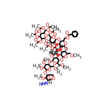 COCC1O[C@@H](O[C@H]2C3CO[C@H](O3)[C@@H](N=[N+]=[N-])C2OC)C(OC)C(OC)[C@@H]1O[C@H]1OC(COC)[C@@H](O[C@@H]2OC(COC)[C@@H](O[C@@H]3OC(COC(=O)c4ccccc4)[C@@H](O[C@@H]4OC(COC(C)=O)[C@@H](O[C@H]5OC(COC(C)=O)[C@@H](OC(C)=O)C(OC(C)=O)C5OC(C)=O)C(OC(C)=O)C4OC(C)=O)C(OC)[C@@H]3OC)C(OC)[C@@H]2OC)C(OC)C1OC